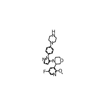 COc1ncc(F)cc1C1COCCN1c1ccnn1-c1ccc(N2CCNCC2)cc1